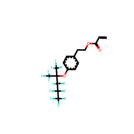 C=CC(=O)OCCc1ccc(OC(C(F)(F)F)(C(F)(F)F)C(F)(F)C(F)(F)C(F)(F)F)cc1